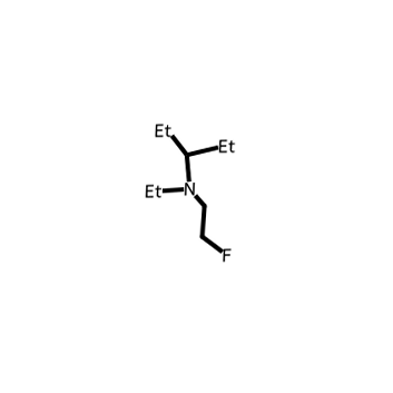 CCC(CC)N(CC)CCF